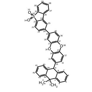 CC1(C)c2ccccc2C(c2ccc3c(c2)Oc2cc(-c4ccc5c(c4)-c4ccccc4S5(=O)=O)ccc2O3)c2ccccc21